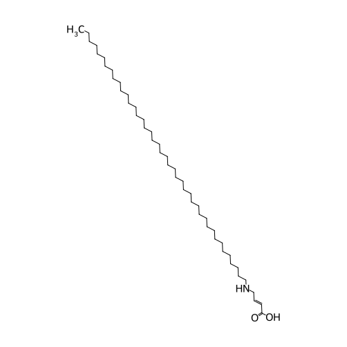 CCCCCCCCCCCCCCCCCCCCCCCCCCCCCCCCCCCCCCCCCCNCC=CC(=O)O